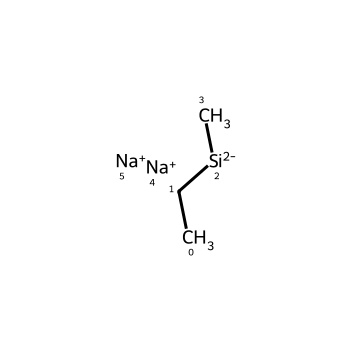 CC[Si-2]C.[Na+].[Na+]